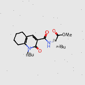 CCCCn1c2c(cc(C(=O)N[C@H](C(=O)OC)[C@H](C)CC)c1=O)CCCC2